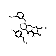 COc1cccc(CN2CCCN3C(=O)c4c(O)c(=O)c(C(=O)O)cn4CC23)c1.NCc1ccc(F)cc1